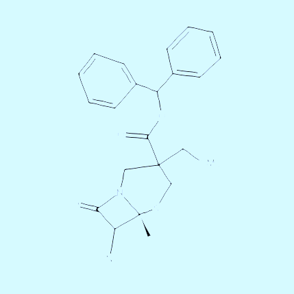 CSCC1(C(=O)OC(c2ccccc2)c2ccccc2)CS[C@@H]2C(N)C(=O)N2C1